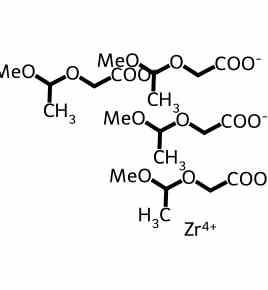 COC(C)OCC(=O)[O-].COC(C)OCC(=O)[O-].COC(C)OCC(=O)[O-].COC(C)OCC(=O)[O-].[Zr+4]